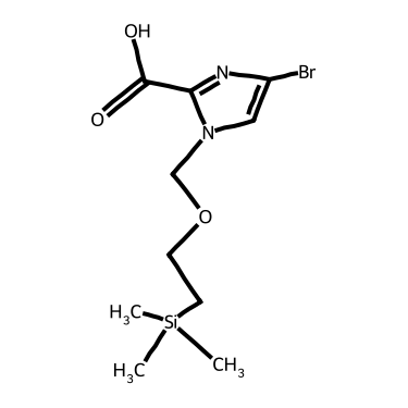 C[Si](C)(C)CCOCn1cc(Br)nc1C(=O)O